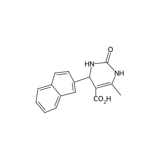 CC1=C(C(=O)O)C(c2ccc3ccccc3c2)NC(=O)N1